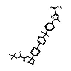 Cc1cc(C(N)=O)nn1-c1ccc(C(C)(C)c2ccc(-c3ccc(C4(CNC(=O)OC(C)(C)C)COC4)cc3)cc2)cc1